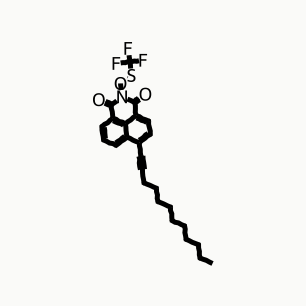 CCCCCCCCCCC#Cc1ccc2c3c(cccc13)C(=O)N(OSC(F)(F)F)C2=O